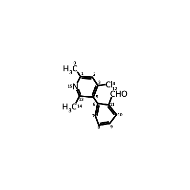 Cc1cc(Cl)c(-c2ccccc2C=O)c(C)n1